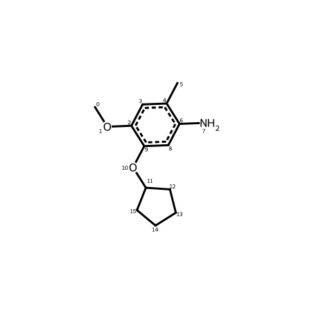 COc1cc(C)c(N)cc1OC1CCCC1